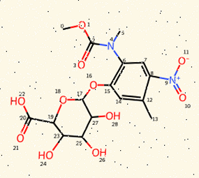 COC(=O)N(C)c1cc([N+](=O)[O-])c(C)cc1OC1OC(C(=O)O)C(O)C(O)C1O